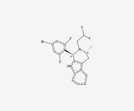 C[C@@H]1Cc2c([nH]c3ccccc23)[C@@H](c2c(F)cc(Br)cc2F)N1CC(F)F